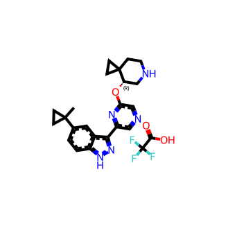 CC1(c2ccc3[nH]nc(-c4cncc(O[C@H]5CNCCC56CC6)n4)c3c2)CC1.O=C(O)C(F)(F)F